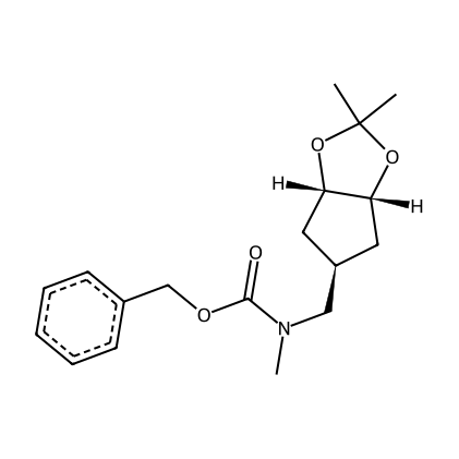 CN(C[C@H]1C[C@@H]2OC(C)(C)O[C@@H]2C1)C(=O)OCc1ccccc1